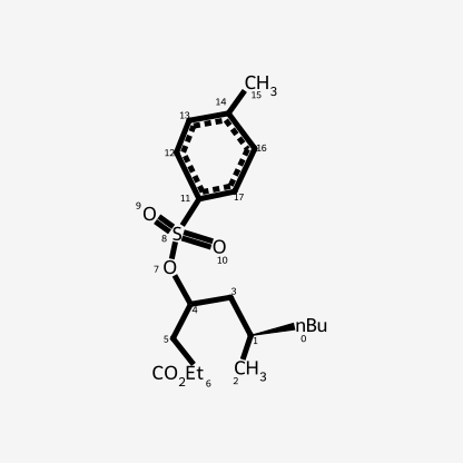 CCCC[C@@H](C)CC(CC(=O)OCC)OS(=O)(=O)c1ccc(C)cc1